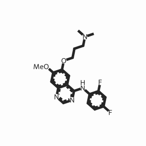 COc1cc2ncnc(Nc3ccc(F)cc3F)c2cc1OCCCN(C)C